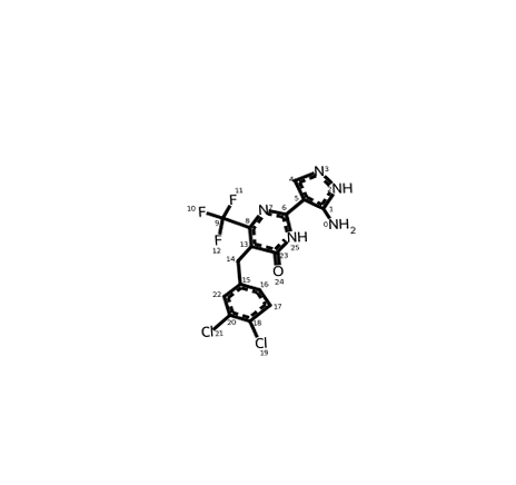 Nc1[nH]ncc1-c1nc(C(F)(F)F)c(Cc2ccc(Cl)c(Cl)c2)c(=O)[nH]1